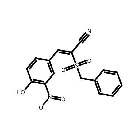 N#CC(=Cc1ccc(O)c([N+](=O)[O-])c1)S(=O)(=O)Cc1ccccc1